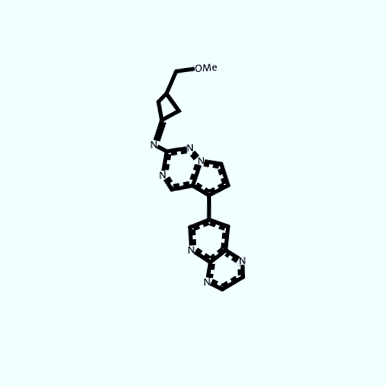 COCC1CC(=Nc2ncc3c(-c4cnc5nccnc5c4)ccn3n2)C1